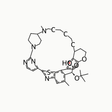 Cc1cc2nc3sc2c(c1[C@H](OC(C)(C)C)C(=O)O)-c1ccc2c(c1)C(CCCCCCN(C)C1CCN(CC1)c1nccc-3n1)CCO2